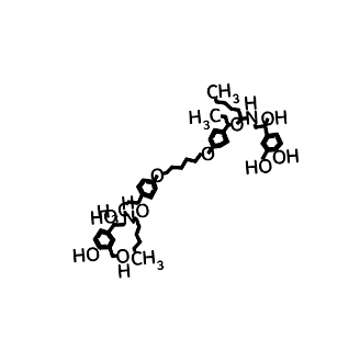 CCCCCC(NCC(O)c1ccc(O)c(CO)c1)OC(CC)c1ccc(OCCCCCCOc2ccc(C(CC)OC(CCCCC)NCC(O)c3ccc(O)c(CO)c3)cc2)cc1